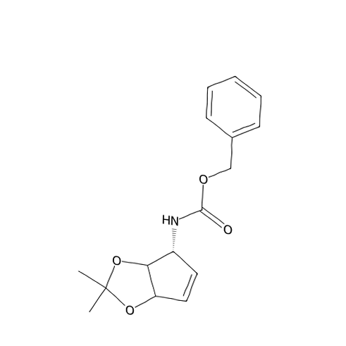 CC1(C)OC2C=C[C@@H](NC(=O)OCc3ccccc3)C2O1